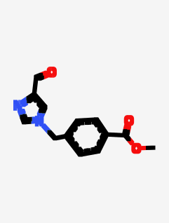 COC(=O)c1ccc(Cn2cnc(C=O)c2)cc1